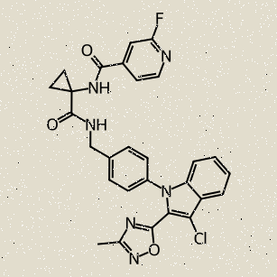 Cc1noc(-c2c(Cl)c3ccccc3n2-c2ccc(CNC(=O)C3(NC(=O)c4ccnc(F)c4)CC3)cc2)n1